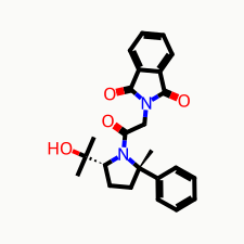 CC(C)(O)[C@H]1CC[C@@](C)(c2ccccc2)N1C(=O)CN1C(=O)c2ccccc2C1=O